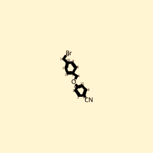 N#Cc1ccc(OCc2ccc(CBr)cc2)cc1